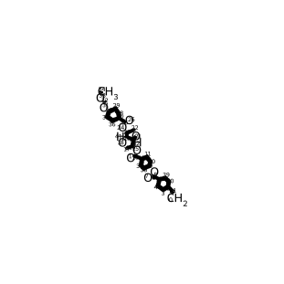 C=Cc1ccc(C(=O)Oc2ccc(C(=O)O[C@H]3CO[C@H]4[C@@H]3OC[C@H]4OC(=O)c3ccc(OCOC)cc3)cc2)cc1